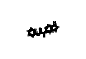 O=C(Nc1cnc2[nH]ncc2c1)Oc1ccccc1